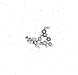 C=CC1CC1(NC(=O)C1CC(Oc2cc(-c3ccccc3)nc3cc(OC)ccc23)CN1C(=O)C(NC(=O)O[C@H]1CCOC1)C(C)(C)C)C(=O)NS(=O)(=O)C1CC1